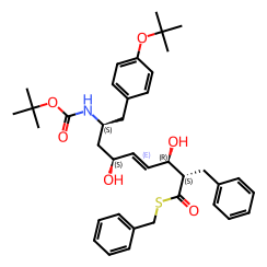 CC(C)(C)OC(=O)N[C@@H](Cc1ccc(OC(C)(C)C)cc1)C[C@H](O)/C=C/[C@@H](O)[C@H](Cc1ccccc1)C(=O)SCc1ccccc1